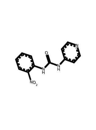 O=C(Nc1ccncc1)Nc1ccccc1[N+](=O)[O-]